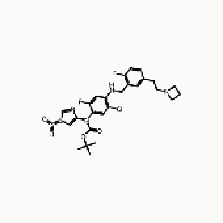 CC(C)(C)OC(=O)N(C1=CS(=S(=O)=O)C=N1)c1cc(Cl)c(NCc2cc(CCN3CCC3)ccc2F)cc1F